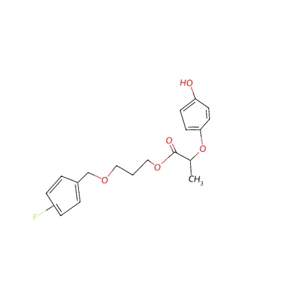 CC(Oc1ccc(O)cc1)C(=O)OCCCOCc1ccc(F)cc1